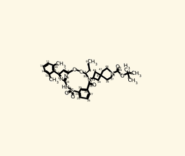 CCC[C@@H]1COc2cc(-c3c(C)cccc3C)nc(n2)NS(=O)(=O)c2cccc(c2)C(=O)N1C1CC2(CCN(C(=O)OC(C)(C)C)CC2)C1